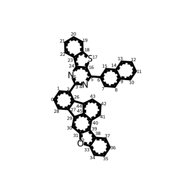 c1cc(-c2nc(-c3ccc4ccccc4c3)c3sc4ccccc4c3n2)c2c(c1)-c1cc3oc4ccccc4c3c3cccc-2c13